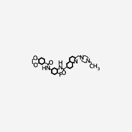 CCN1CCN(Cc2ccc3cc(C(=O)Nc4cc(NC(=O)c5ccc6c(c5)OCCO6)ccc4F)ccc3n2)CC1